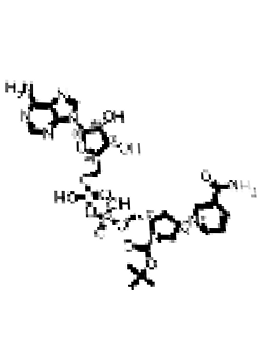 CC(C)(C)OC(=O)N1C[C@@H]([n+]2cccc(C(N)=O)c2)C[C@H]1COP(=O)(O)OP(=O)(O)OC[C@H]1O[C@@H](n2cnc3c(N)ncnc32)[C@H](O)[C@@H]1O